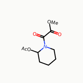 COC(=O)C(=O)N1CCCCC1OC(C)=O